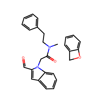 CN(CCc1ccccc1)C(=O)Cn1c(C=O)cc2ccccc21.c1ccc2c(c1)CO2